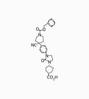 N#CC1(c2ccc(N3CCN([C@H]4CC[C@H](C(=O)O)CC4)C3=O)cc2)CCN(C(=O)OCc2ccccc2)CC1